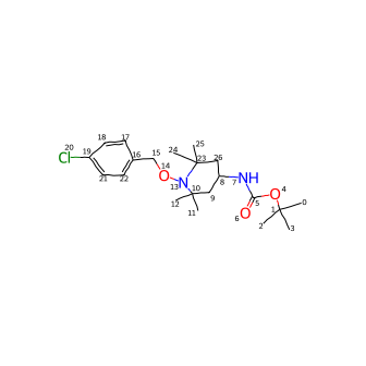 CC(C)(C)OC(=O)NC1CC(C)(C)N(OCc2ccc(Cl)cc2)C(C)(C)C1